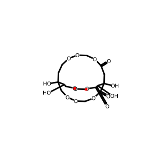 O=C1CC2(O)C(=O)OCOOCC(O)(CCOOCO1)C(O)COOCOC(=O)C2O